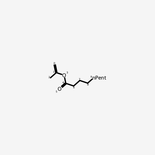 C=C(C)OC(=O)CCCCCCCC